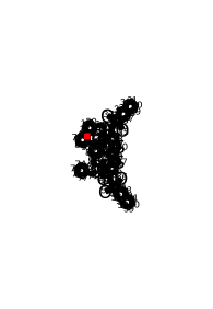 O=C(OCc1ccccc1)C1(C(=O)OCc2ccccc2)C(N=c2c(=O)c3cc4ccccc4cc3c2=O)=Cc2sc3c(sc4c5c(sc43)C=C(N=c3c(=O)c4cc6ccccc6cc4c3=O)C5(C(=O)OCc3ccccc3)C(=O)OCc3ccccc3)c21